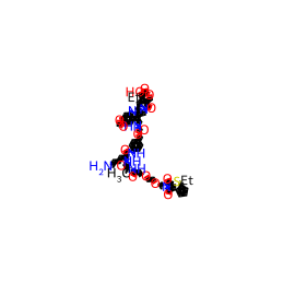 CCC(SC1CC(=O)N(CCOCCOCCC(=O)N[C@@H](C)C(=O)NC(CCCCN)C(=O)Nc2ccc(COC(=O)NCc3c4c(nc5cc6c(cc35)OCO6)-c3cc5c(c(=O)n3C4)COC(=O)[C@]5(O)CC)cc2)C1=O)C1CCCC1